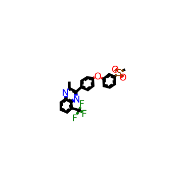 Cc1nc2cccc(C(F)(F)F)c2nc1-c1ccc(Oc2cccc(S(C)(=O)=O)c2)cc1